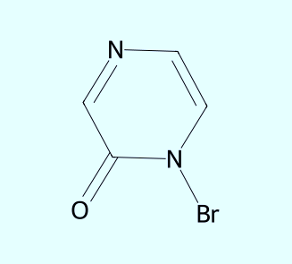 O=c1cnccn1Br